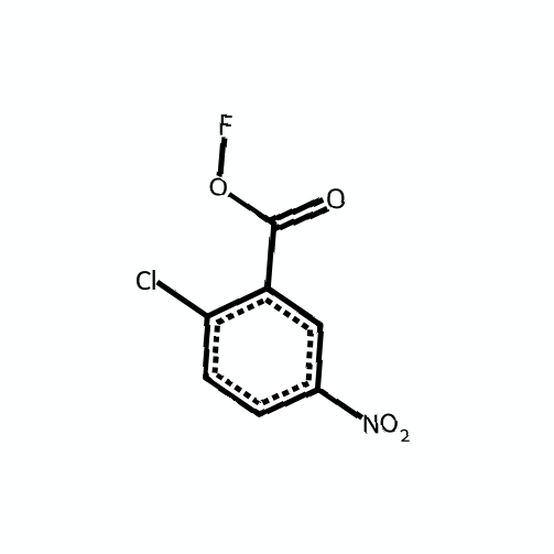 O=C(OF)c1cc([N+](=O)[O-])ccc1Cl